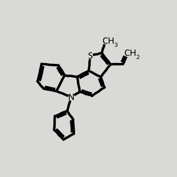 C=Cc1c(C)sc2c1ccc1c2c2ccccc2n1-c1ccccc1